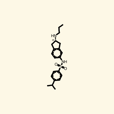 CCCN[C@@H]1Cc2ccc(NS(=O)(=O)c3ccc(C(C)C)cc3)cc2C1